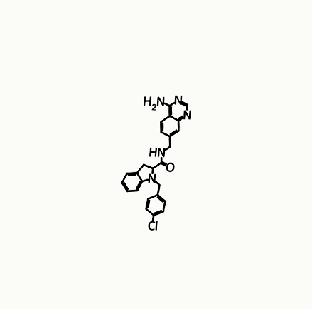 Nc1ncnc2cc(CNC(=O)C3Cc4ccccc4N3Cc3ccc(Cl)cc3)ccc12